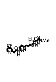 CNC(=O)C1(C)CN(CC(F)CCc2ccc(NC(=O)Cc3cc(C(F)(F)F)ccn3)nn2)N=N1